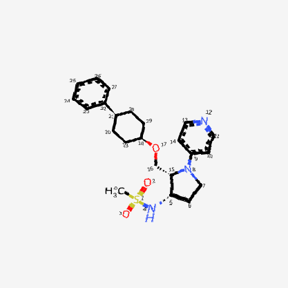 CS(=O)(=O)N[C@H]1CCN(c2ccncc2)[C@H]1CO[C@H]1CC[C@@H](c2ccccc2)CC1